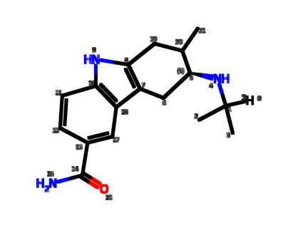 [2H]C(C)(C)N[C@H]1Cc2c([nH]c3ccc(C(N)=O)cc23)CC1C